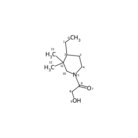 CCC1CCN(C(=O)CO)CC1(C)C